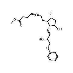 COC(=O)CCC=C=CC[C@@H]1[C@@H](/C=C/[C@@H](O)COc2ccccc2)[C@H](O)C[C@H]1Cl